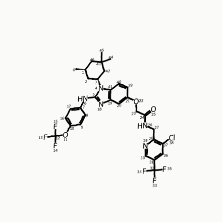 C[C@@H]1C[C@H](n2c(Nc3ccc(OC(F)(F)F)cc3)nc3cc(OCC(=O)NCc4ncc(C(F)(F)F)cc4Cl)ccc32)CC(C)(C)C1